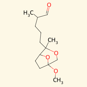 COC12CCC(O1)C(C)(CCCC(C)C=O)OC2